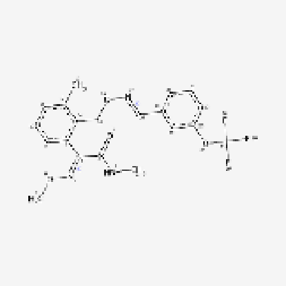 CNC(=O)/C(=N/OC)c1cccc(C)c1CO/N=C/c1cccc(OC(F)(F)F)c1